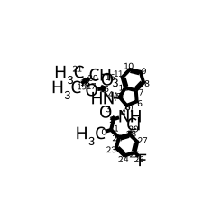 CC(C(=O)N[C@H]1Cc2ccccc2[C@@H]1NC(=O)OC(C)(C)C)c1ccc(F)cc1Cl